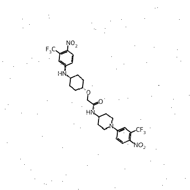 O=C(CO[C@H]1CC[C@H](Nc2ccc([N+](=O)[O-])c(C(F)(F)F)c2)CC1)NC1CCN(c2ccc([N+](=O)[O-])c(C(F)(F)F)c2)CC1